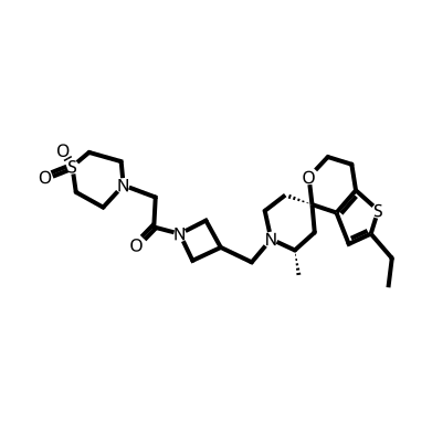 CCc1cc2c(s1)CCO[C@@]21CCN(CC2CN(C(=O)CN3CCS(=O)(=O)CC3)C2)[C@@H](C)C1